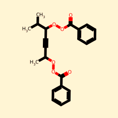 CC(C#CC(OOC(=O)c1ccccc1)C(C)C)OOC(=O)c1ccccc1